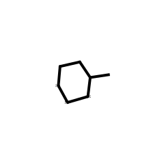 CC1[C][C][C]CC1